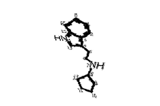 c1ccc2c(CCNC3CCCC3)c[nH]c2c1